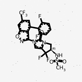 CS(=O)(=O)N[C@@H]1Cn2c(cn(-c3noc4cc(C(F)(F)F)cc(-c5c(F)cccc5F)c34)c2=O)C1(F)F